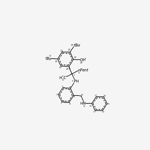 CCCCCC(C)(Pc1ccccc1CNc1ccccc1)c1cc(C(C)(C)C)cc(C(C)(C)C)c1O